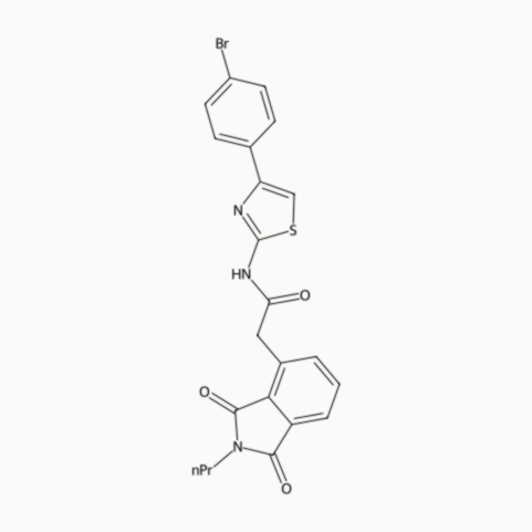 CCCN1C(=O)c2cccc(CC(=O)Nc3nc(-c4ccc(Br)cc4)cs3)c2C1=O